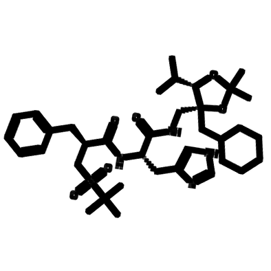 CC(C)[C@@H]1OC(C)(C)O[C@@]1(CNC(=O)[C@H](Cc1c[nH]cn1)NC(=O)[C@H](Cc1ccccc1)CS(=O)(=O)C(C)(C)C)CC1CCCCC1